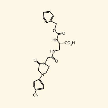 N#Cc1ccc(N2CCN(CC(=O)NC[C@H](NC(=O)OCc3ccccc3)C(=O)O)C(=O)C2)cc1